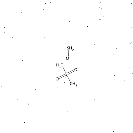 CS(C)(=O)=O.O=[SH2]